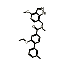 CCOc1cc(C(=O)N(C)Cc2cnc(OC)c3cn[nH]c23)ccc1-c1cccc(C)c1